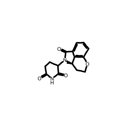 CC12CCOc3cccc(c31)C(=O)N2C1CCC(=O)NC1=O